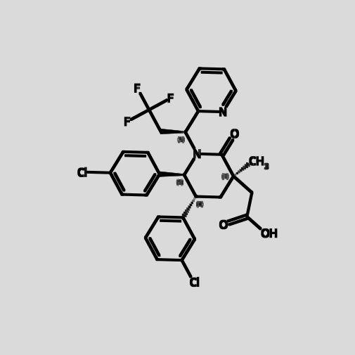 C[C@]1(CC(=O)O)C[C@H](c2cccc(Cl)c2)[C@@H](c2ccc(Cl)cc2)N([C@@H](CC(F)(F)F)c2ccccn2)C1=O